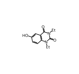 CCn1c(=O)c2cc(O)ccc2n(CC)c1=O